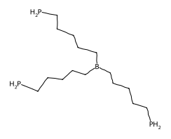 PCCCCCB(CCCCCP)CCCCCP